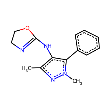 Cc1nn(C)c(-c2ccccc2)c1NC1=NCCO1